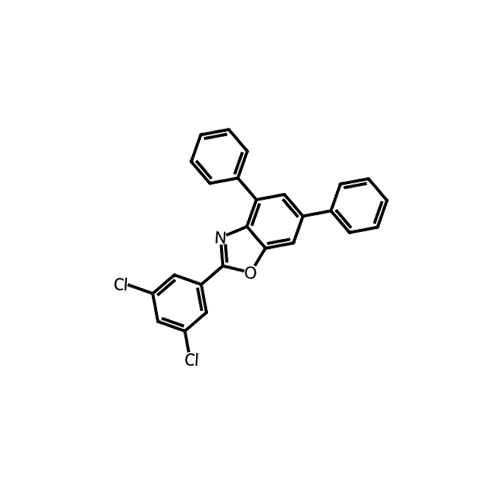 Clc1cc(Cl)cc(-c2nc3c(-c4ccccc4)cc(-c4ccccc4)cc3o2)c1